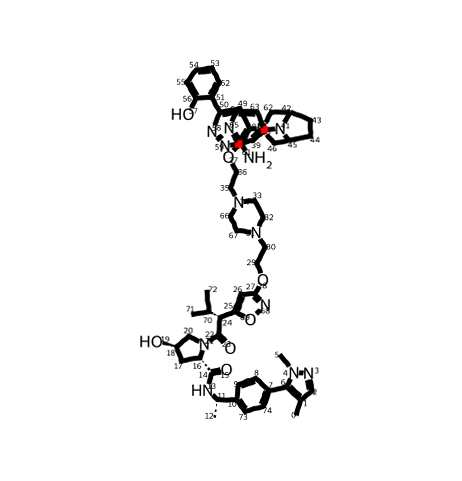 Cc1cnn(C)c1-c1ccc([C@H](C)NC(=O)[C@@H]2C[C@@H](O)CN2C(=O)[C@@H](c2cc(OCCN3CCN(CCOc4cc(N5C6CCC5CN(c5cc(-c7ccccc7O)nnc5N)C6)ccn4)CC3)no2)C(C)C)cc1